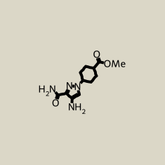 COC(=O)C1CCC(n2cc(N)c(C(N)=O)n2)CC1